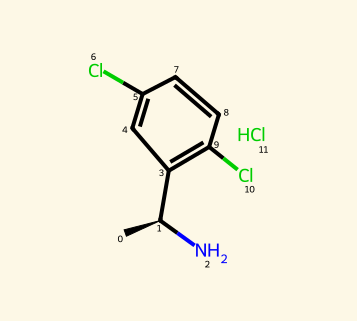 C[C@H](N)c1cc(Cl)ccc1Cl.Cl